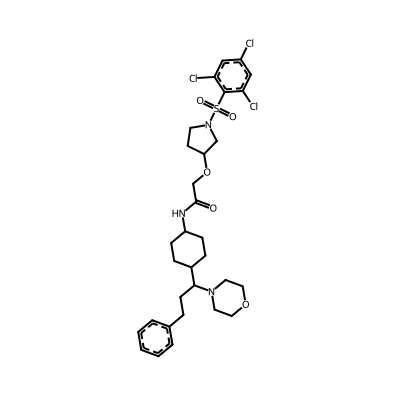 O=C(COC1CCN(S(=O)(=O)c2c(Cl)cc(Cl)cc2Cl)C1)NC1CCC(C(CCc2ccccc2)N2CCOCC2)CC1